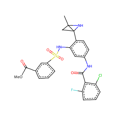 COC(=O)c1cccc(S(=O)(=O)Nc2cc(NC(=O)c3c(F)cccc3Cl)ccc2C23CC2(C)N3)c1